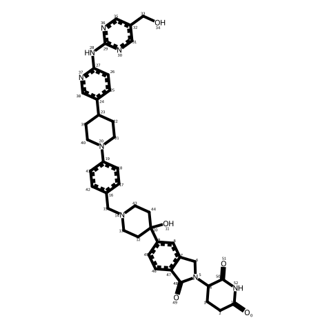 O=C1CCC(N2Cc3cc(C4(O)CCN(Cc5ccc(N6CCC(c7ccc(Nc8ncc(CO)cn8)nc7)CC6)cc5)CC4)ccc3C2=O)C(=O)N1